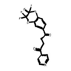 O=C(CCC(=O)c1ccc2c(c1)OC(F)(F)C(F)(F)S2)c1ccncc1